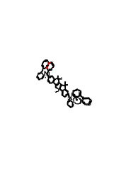 CC1(C)c2cc(N(c3ccccc3)c3ccccc3-c3ccccc3)ccc2-c2sc3c(c21)C(C)(C)c1cc(N(c2ccccc2)c2cccc4c2oc2ccccc24)ccc1-3